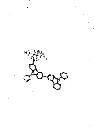 CC1(C)OB(c2ccc3c(c2)c2cc(-c4ccc5c(c4)c4ccccc4n5-c4ccccc4)ccc2n3C2=CCCC=C2)OC1(C)C